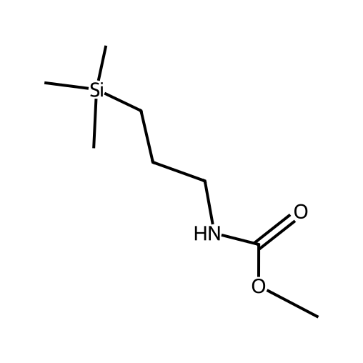 COC(=O)NCCC[Si](C)(C)C